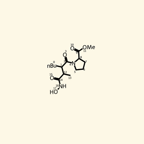 CCCCC(C(=O)N1CCCC1C(=O)OC)C(C)C(=O)NO